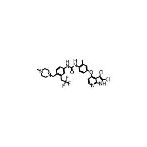 Cc1cc(Oc2ccnc3[nH]c(Cl)c(Cl)c23)ccc1NC(=O)Nc1ccc(CN2CCN(C)CC2)c(CC(F)(F)F)c1